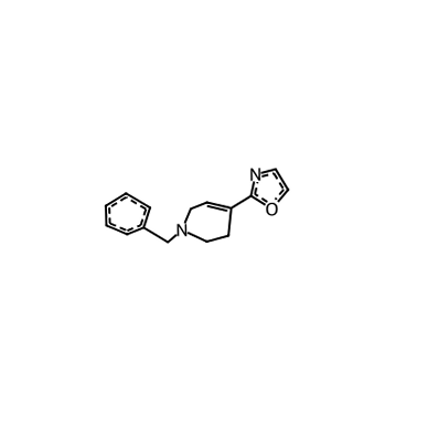 C1=C(c2ncco2)CCN(Cc2ccccc2)C1